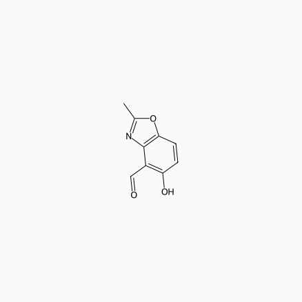 Cc1nc2c(C=O)c(O)ccc2o1